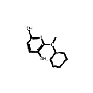 CN(c1nc(O)ccc1N)C1CCCCC1